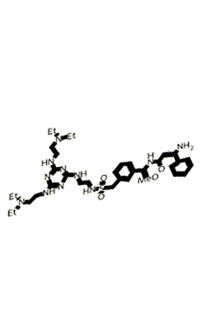 C=C(NC(/C=C(/N)c1ccccc1)OOC)c1cccc(CS(=O)(=O)NCCNc2nc(NCCN(CC)CC)nc(NCCN(CC)CC)n2)c1